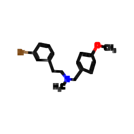 COc1ccc(CN(C)CCc2cccc(Br)c2)cc1